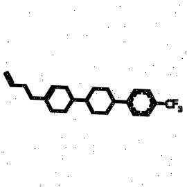 C=CCCC1=CCC(C2CCC(c3ccc(C(F)(F)F)cc3)CC2)CC1